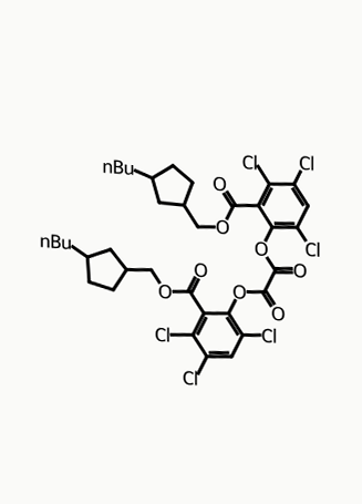 CCCCC1CCC(COC(=O)c2c(Cl)c(Cl)cc(Cl)c2OC(=O)C(=O)Oc2c(Cl)cc(Cl)c(Cl)c2C(=O)OCC2CCC(CCCC)C2)C1